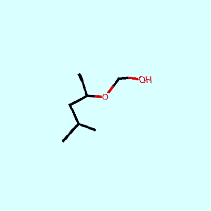 CC(C)CC(C)OCO